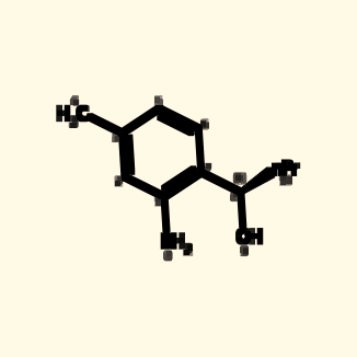 Bc1cc(C)ccc1[C@H](O)CCC